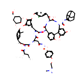 CN[C@H](CC(C)C)C(=O)N[C@H]1C(=O)N[C@@H](CC(=O)NS(=O)(=O)c2ccc(OCCN(C)C)cc2)C(=O)N[C@H]2C(=O)N[C@H]3C(=O)N[C@H](C(=O)N[C@H](C(=O)NC4C5CC6CC(C5)CC4C6)c4cc(O)cc(O)c4-c4cc3ccc4O)[C@H](O)c3ccc(c(Cl)c3)Oc3cc2cc(c3O[C@@H]2C[C@H](CO)[C@@H](O)[C@H](O)[C@H]2O)Oc2ccc(cc2C)[C@H]1O